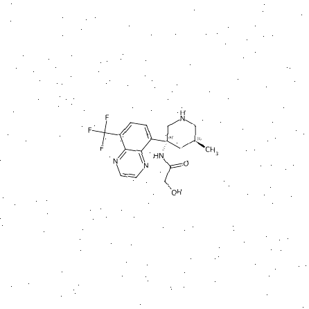 C[C@@H]1CNC[C@](NC(=O)CO)(c2ccc(C(F)(F)F)c3nccnc23)C1